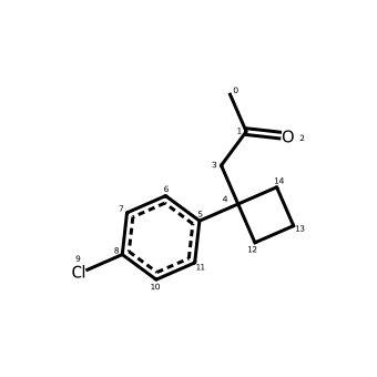 CC(=O)CC1(c2ccc(Cl)cc2)CCC1